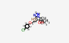 CC(C)(C)C(O)(CCCCOc1ccc(Cl)cc1)Cn1ncnc1S